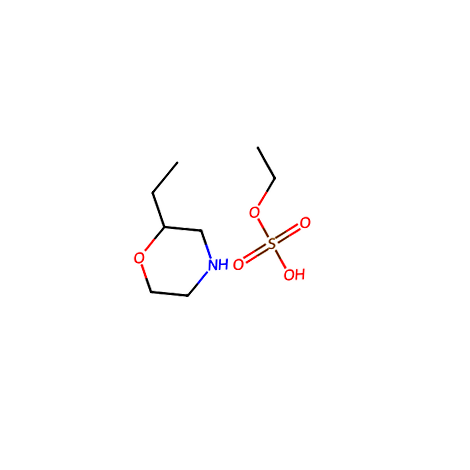 CCC1CNCCO1.CCOS(=O)(=O)O